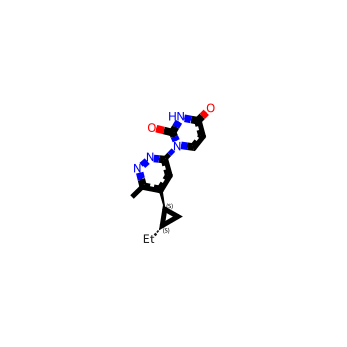 CC[C@H]1C[C@@H]1c1cc(-n2ccc(=O)[nH]c2=O)nnc1C